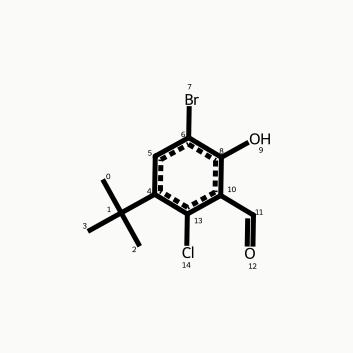 CC(C)(C)c1cc(Br)c(O)c(C=O)c1Cl